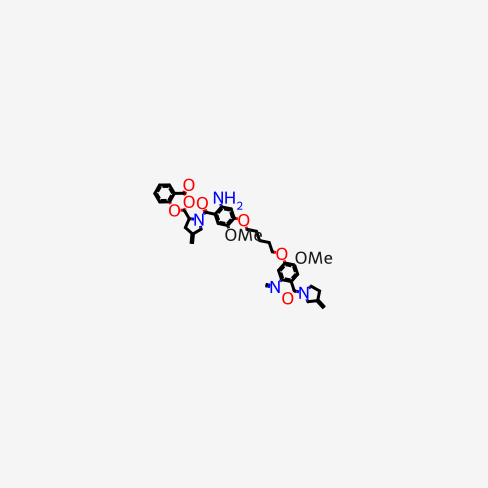 C=Nc1cc(OCCCCCOc2cc(N)c(C(=O)N3CC(=C)CC3C3OC(=O)c4ccccc4O3)cc2OC)c(OC)cc1C(=O)N1CCC(=C)C1